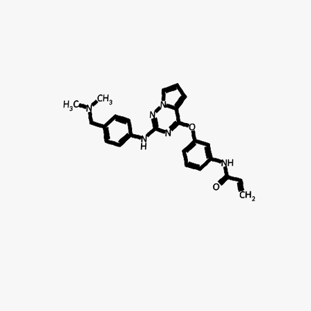 C=CC(=O)Nc1cccc(Oc2nc(Nc3ccc(CN(C)C)cc3)nn3cccc23)c1